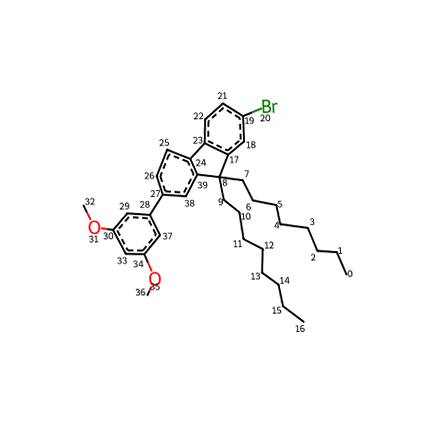 CCCCCCCCC1(CCCCCCCC)c2cc(Br)ccc2-c2ccc(-c3cc(OC)cc(OC)c3)cc21